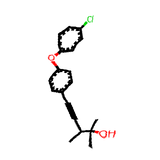 CC(C#Cc1ccc(Oc2ccc(Cl)cc2)cc1)C(C)(C)O